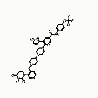 O=C1CCN(c2cnccc2CN2CCC(N3CCN(c4ncc(C(=O)Nc5ccc(OC(F)(F)Cl)cc5)cc4-c4cc[nH]n4)CC3)CC2)C(=O)N1